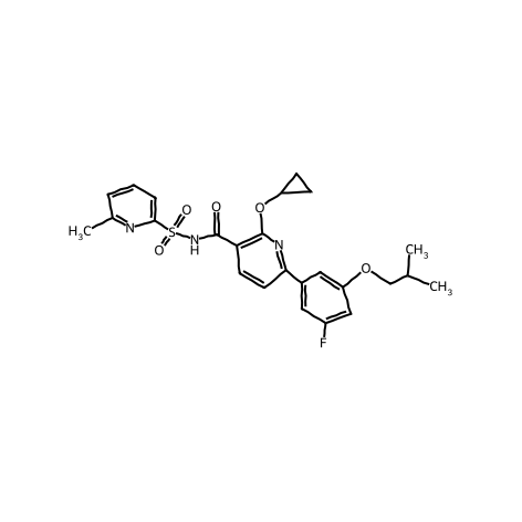 Cc1cccc(S(=O)(=O)NC(=O)c2ccc(-c3cc(F)cc(OCC(C)C)c3)nc2OC2CC2)n1